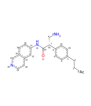 CC(=O)CCc1ccc([C@@H](CN)C(=O)Nc2ccc3cnccc3c2)cc1